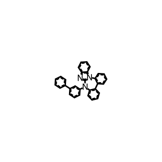 c1ccc(-c2cccc(N3c4ccccc4-c4ccccc4-n4c3nc3ccccc34)c2)cc1